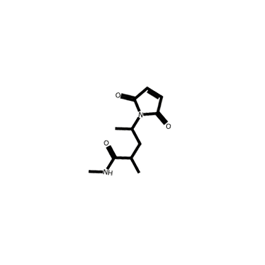 CNC(=O)C(C)CC(C)N1C(=O)C=CC1=O